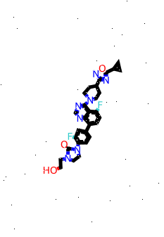 O=C1N(CCO)CCN1c1ccc(-c2ccc(F)c3c(N4CCC(c5noc(C6CC6)n5)CC4)ncnc23)cc1F